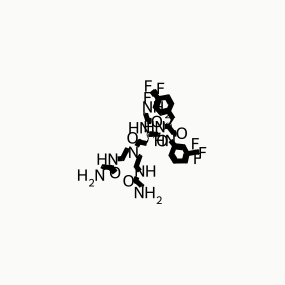 NCC(=O)NCCN(CCNC(=O)CN)C(=O)C[C@H](NC(=O)CN)C(=O)N[C@@H](Cc1ccc(C(F)(F)F)cc1)C(=O)Nc1cccc(C(F)(F)F)c1